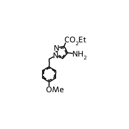 CCOC(=O)c1nn(Cc2ccc(OC)cc2)cc1N